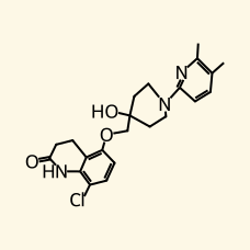 Cc1ccc(N2CCC(O)(COc3ccc(Cl)c4c3CCC(=O)N4)CC2)nc1C